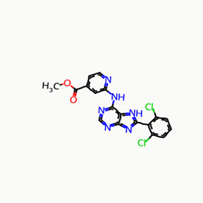 COC(=O)c1ccnc(Nc2ncnc3nc(-c4c(Cl)cccc4Cl)[nH]c23)c1